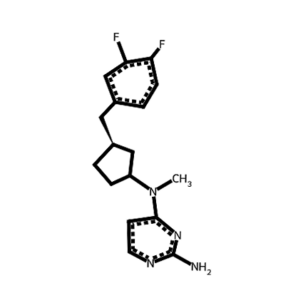 CN(c1ccnc(N)n1)C1CC[C@@H](Cc2ccc(F)c(F)c2)C1